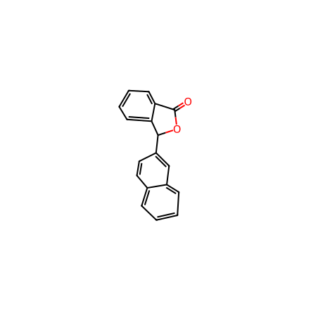 O=C1OC(c2ccc3ccccc3c2)c2ccccc21